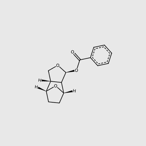 O=C(O[C@@H]1OC[C@@H]2C1[C@@H]1CC[C@H]2O1)c1ccccc1